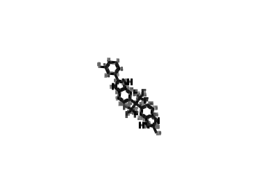 Cc1cccc(-c2nc3ccc(C(c4ccc5nc(C)[nH]c5c4)(C(F)(F)F)C(F)(F)F)cc3[nH]2)c1